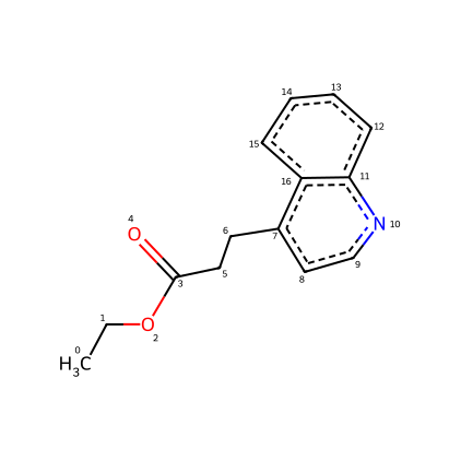 CCOC(=O)CCc1ccnc2ccccc12